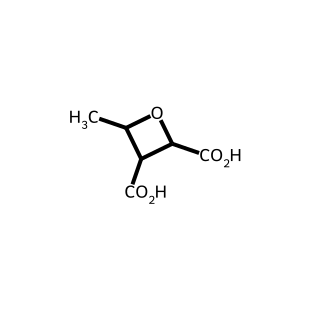 CC1OC(C(=O)O)C1C(=O)O